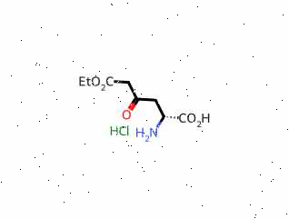 CCOC(=O)CC(=O)C[C@@H](N)C(=O)O.Cl